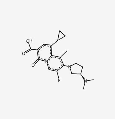 Cc1c(N2CC[C@@H](N(C)C)C2)c(F)cn2c(=O)c(C(=O)O)cc(C3CC3)c12